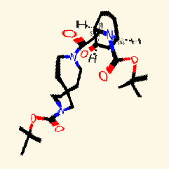 CC(C)(C)OC(=O)N1CC2(CCN(C(=O)[C@H]3[C@@H]4CC[C@@H](CC4=O)N3C(=O)OC(C)(C)C)CC2)C1